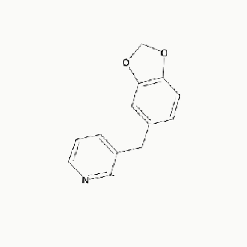 [c]1ncccc1Cc1ccc2c(c1)OCO2